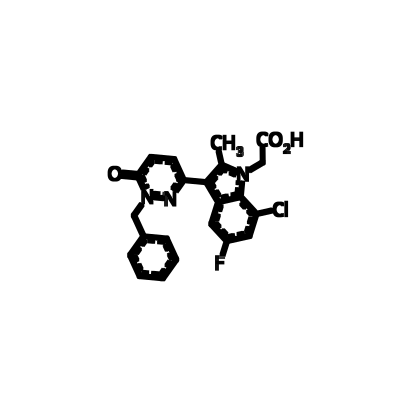 Cc1c(-c2ccc(=O)n(Cc3ccccc3)n2)c2cc(F)cc(Cl)c2n1CC(=O)O